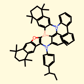 CCC(C)c1ccc(N2c3cc(C)cc4c3B(c3cc5c(cc3N4c3ccccc3-c3ccccc3)C(C)(C)CCC5(C)C)c3oc4cc5c(cc4c32)C(C)(C)CCC5(C)C)cc1